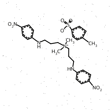 C[N+](C)(CCCNc1ccc([N+](=O)[O-])cc1)CCCNc1ccc([N+](=O)[O-])cc1.Cc1ccc(S(=O)(=O)[O-])cc1